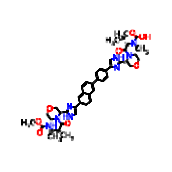 COC(=O)N[C@@H](C)[C@@H](C)C(=O)N1CCOCC1c1nc(-c2ccc3cc(-c4ccc(-c5c[nH]c([C@@H]6COCCN6C(=O)[C@H](C(C)C)N(C)C(=O)O)n5)cc4)ccc3c2)c[nH]1